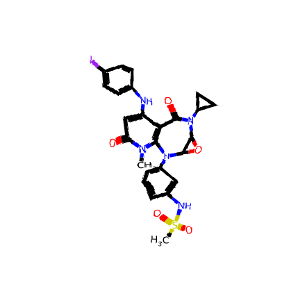 Cn1c2c(c(Nc3ccc(I)cc3)cc1=O)C(=O)N(C1CC1)C1OC1N2c1cccc(NS(C)(=O)=O)c1